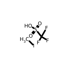 CI.O=S(=O)(O)C(F)(F)F